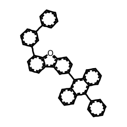 c1ccc(-c2cccc(-c3cccc4c3oc3ccc(-c5c6ccccc6c(-c6ccccc6)c6ccccc56)cc34)c2)cc1